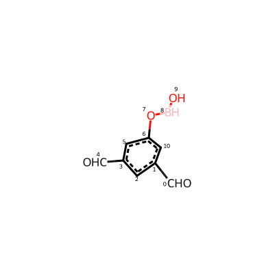 O=Cc1cc(C=O)cc(OBO)c1